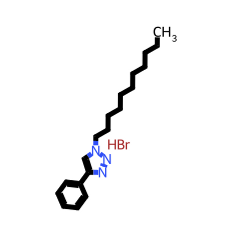 Br.CCCCCCCCCCCn1cc(-c2ccccc2)nn1